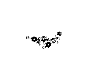 COc1ccc(Cl)c(Oc2c(COCCOC(=O)Oc3ccsc3)ncnc2NS(=O)(=O)c2ccc(C(C)(C)C)cc2)c1